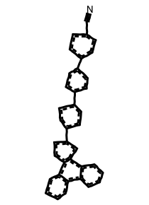 N#Cc1ccc(-c2ccc(-c3ccc(-c4ccc5c6ccccc6c6ccccc6c5c4)cc3)cc2)cc1